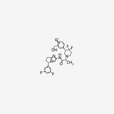 C[C@@H](C(=O)Nc1cn2c(n1)CC[C@@H]2c1cc(F)cc(F)c1)N1CCC(F)(F)[C@H](c2cc[n+]([O-])c(CO)c2)C1